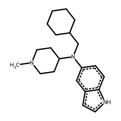 CN1CCC(N(CC2CCCCC2)c2ccc3[nH]ccc3c2)CC1